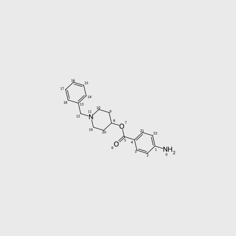 Nc1ccc(C(=O)OC2CCN(Cc3ccccc3)CC2)cc1